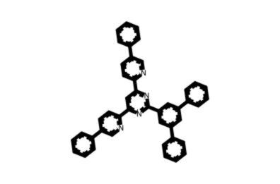 c1ccc(-c2ccc(-c3cc(-c4ccc(-c5ccccc5)cn4)nc(-c4cc(-c5ccccc5)cc(-c5ccccc5)c4)n3)nc2)cc1